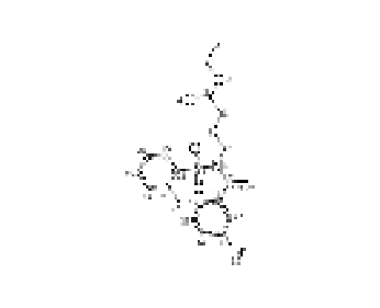 CCOC(=O)CCCN([C@@H](C)c1cccc(Br)c1)S(=O)(=O)c1ccccc1C